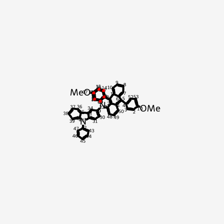 COc1ccc(-c2c3ccccc3c(-c3ccc(OC)cc3)c3c(N(c4ccccc4)c4ccc5c(c4)c4ccccc4n5-c4ccccc4)cccc23)cc1